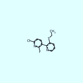 CCSc1cccnc1-c1ccc(Cl)nc1F